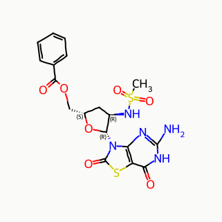 CS(=O)(=O)N[C@@H]1C[C@@H](COC(=O)c2ccccc2)O[C@H]1n1c(=O)sc2c(=O)[nH]c(N)nc21